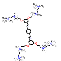 C[N+](C)(C)CCC[N+](C)(C)CCCOc1cc(/C=C/c2ccc(/C=C/c3cc(OCCC[N+](C)(C)CCC[N+](C)(C)C)cc(OCCC[N+](C)(C)CCC[N+](C)(C)C)c3)cc2)cc(OCCC[N+](C)(C)CCC[N+](C)(C)C)c1